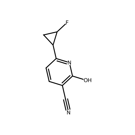 N#Cc1ccc(C2CC2F)nc1O